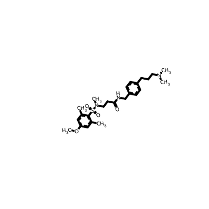 COc1cc(C)c(S(=O)(=O)N(C)CCC(=O)NCc2ccc(CCCN(C)C)cc2)c(C)c1